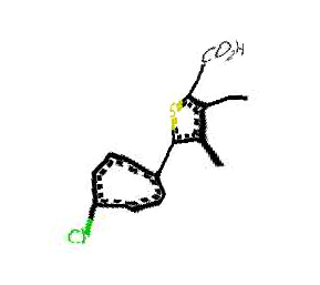 Cc1c(C(=O)O)sc(-c2ccc(Cl)cc2)c1C